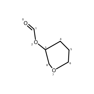 O=COC1CCCOC1